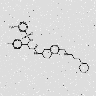 O=C(CC(NS(=O)(=O)c1cccc(C(F)(F)F)c1)c1ccc(F)cc1)NC1CCc2cc(CNCCCN3CCOCC3)ccc2C1